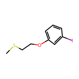 CSCCOc1cccc(I)c1